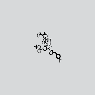 CC(=O)c1sc(NC(=O)N[C@H]2CN(C(=O)OC(C)(C)C)CC[C@@H]2C(=O)N2CCCC(Cc3ccc(F)cc3)C2)nc1C